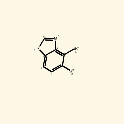 CC(C)c1ccc2scnc2c1C(C)C